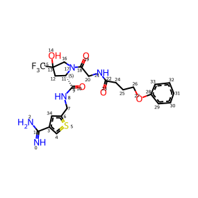 N=C(N)c1csc(CNC(=O)[C@@H]2CC(O)(C(F)(F)F)CN2C(=O)CNC(=O)CCCOc2ccccc2)c1